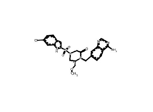 COC[C@H]1CN(S(=O)(=O)c2cc3ccc(Cl)cc3[nH]2)CC(=O)N1Cc1ccc2c(N)ncnc2c1